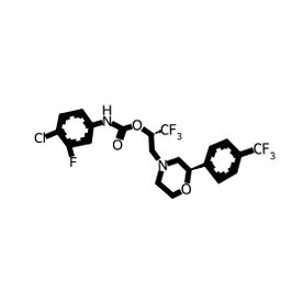 O=C(Nc1ccc(Cl)c(F)c1)O[C@@H](CN1CCO[C@H](c2ccc(C(F)(F)F)cc2)C1)C(F)(F)F